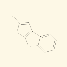 Brc1cc2c(s1)sc1ccccc12